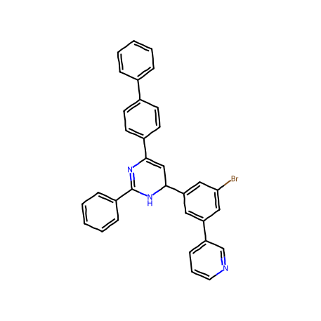 Brc1cc(-c2cccnc2)cc(C2C=C(c3ccc(-c4ccccc4)cc3)N=C(c3ccccc3)N2)c1